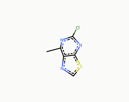 Cc1nc(Cl)nc2scnc12